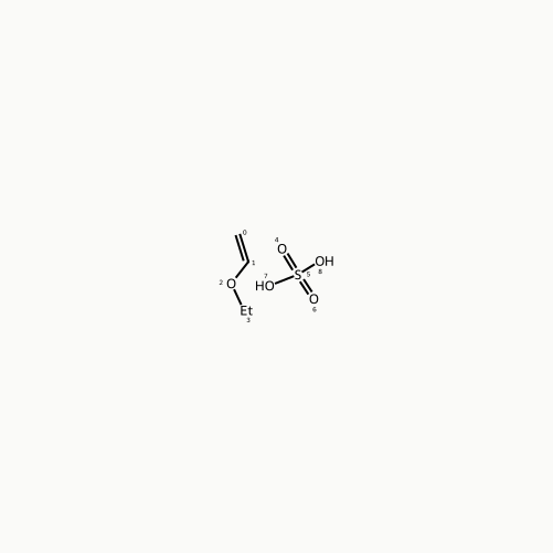 C=COCC.O=S(=O)(O)O